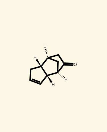 O=C1C[C@H]2C[C@@H]1[C@@H]1C=CC[C@H]21